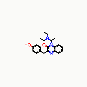 CCN(CC)C(C)n1c(=O)c(Cc2ccc(O)cc2)nc2ccccc21